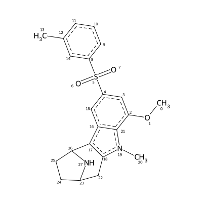 COc1cc(S(=O)(=O)c2cccc(C)c2)cc2c3c(n(C)c12)CC1CCC3N1